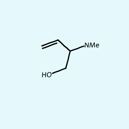 C=CC(CO)NC